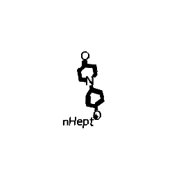 CCCCCCCOc1ccc(N2CCC(=O)CC2)cc1